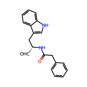 O=[C][C@H](Cc1c[nH]c2ccccc12)NC(=O)Cc1ccccc1